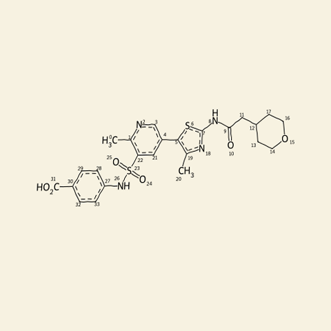 Cc1ncc(-c2sc(NC(=O)CC3CCOCC3)nc2C)cc1S(=O)(=O)Nc1ccc(C(=O)O)cc1